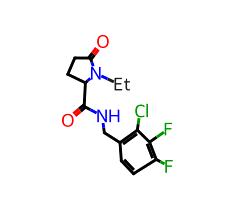 CCN1C(=O)CCC1C(=O)NCc1ccc(F)c(F)c1Cl